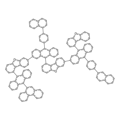 c1ccc2cc(-c3ccc(-c4c5ccccc5c(-c5cccc6oc7ccccc7c56)c5cc(-c6ccc7c(c6)oc6cccc(-c8c9ccccc9c(-c9ccc(-c%10cccc%11ccccc%10%11)cc9)c9ccc(-c%10ccc%11c(c%10)oc%10cccc(-c%12c%13ccccc%13c(-c%13cc%14ccccc%14c%14ccccc%13%14)c%13ccccc%12%13)c%10%11)cc89)c67)ccc45)cc3)ccc2c1